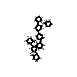 c1ccc(-n2c3ccccc3c3ccc(-c4ccc5c6ccccc6n(-c6ccccc6-c6ccc7c(c6)sc6ccccc67)c5c4)cc32)cc1